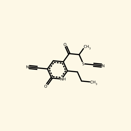 CCCc1[nH]c(=O)c(C#N)cc1C(=O)C(C)SC#N